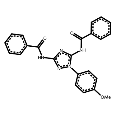 COc1ccc(-n2nc(NC(=O)c3ccccc3)nc2NC(=O)c2ccccc2)cc1